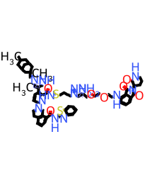 C/C(NCC1(C)CC2CC(C)CC(C2)C1)=C(/C=N)c1ccc(N2CCc3cccc(C(=O)Nc4nc5ccccc5s4)c3C2)nc1C(=O)NSCCCN(N)/C=C(\N)COCCOCCNc1cccc2c1C(=O)N(C1CCCNC1=O)C2=O